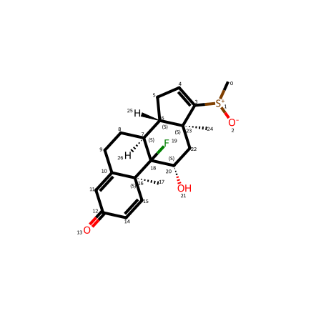 C[S+]([O-])C1=CC[C@H]2[C@@H]3CCC4=CC(=O)C=C[C@]4(C)C3(F)[C@@H](O)C[C@]12C